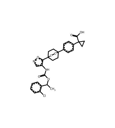 CC(OC(=O)Nc1cnoc1C12CCC(c3ccc(C4(C(=O)O)CC4)cc3)(CC1)CC2)c1ccccc1Cl